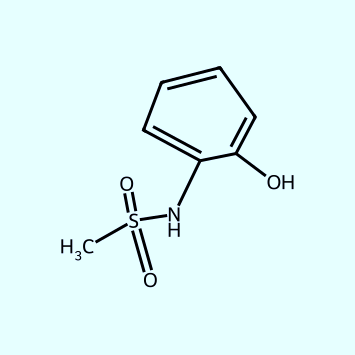 CS(=O)(=O)Nc1ccccc1O